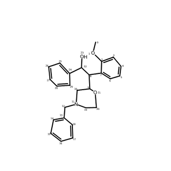 COc1ccccc1C(C1CN(Cc2ccccc2)CCO1)C(O)c1ccccc1